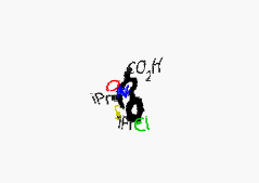 CC(C)SCC(C(C)C)N1C(=O)C(CC(=O)O)CCC1c1ccc(Cl)cc1